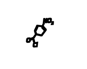 O=C(Cl)C1C=CC([N+](=O)[O-])=CC1